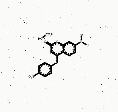 CCN(CC)c1ccc2c(Cc3ccc([N+](=O)[O-])cc3)cc(=O)oc2c1.O=C(O)O